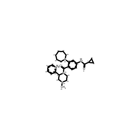 C=C(c1ccc(NC(=O)C2CC2)cc1N1CCCCCC1)N1CCN(C)CC1c1ccccn1